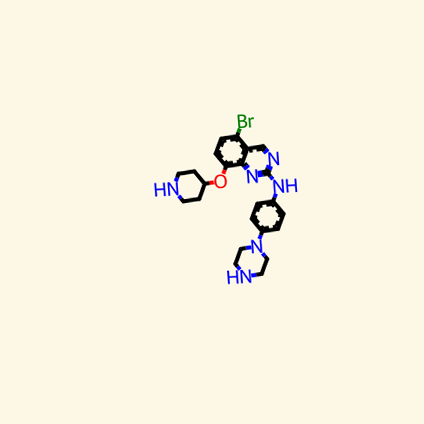 Brc1ccc(OC2CCNCC2)c2nc(Nc3ccc(N4CCNCC4)cc3)ncc12